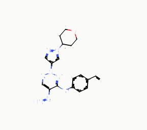 C=Cc1ccc(NC2=NN(c3cnn(C4CCOCC4)c3)NC=C2N=N)cc1